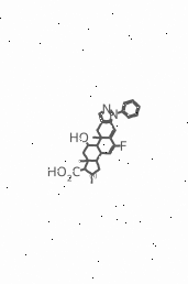 C[C@@H]1CC2C3C=C(F)C4=Cc5c(cnn5-c5ccccc5)CC4(C)C3C(O)CC2(C)C1C(=O)O